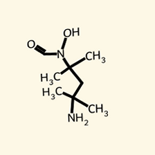 CC(C)(N)CC(C)(C)N(O)C=O